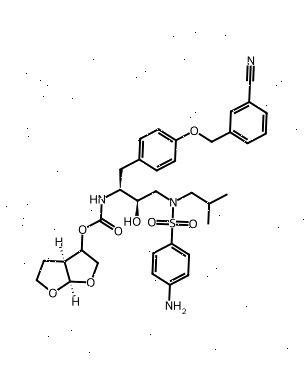 CC(C)CN(C[C@@H](O)[C@H](Cc1ccc(OCc2cccc(C#N)c2)cc1)NC(=O)OC1CO[C@H]2OCC[C@@H]12)S(=O)(=O)c1ccc(N)cc1